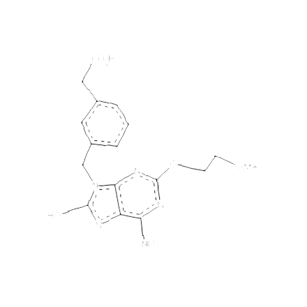 COCCOc1nc(N)c2nc(O)n(Cc3cccc(CC(=O)O)c3)c2n1